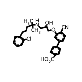 CC(C)(CCCc1ccccc1Cl)NC[C@@H](O)COc1cc(-c2ccc(C(=O)O)cc2)ccc1C#N